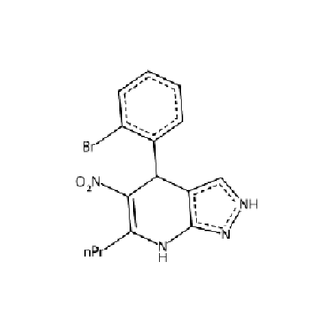 CCCC1=C([N+](=O)[O-])C(c2ccccc2Br)c2c[nH]nc2N1